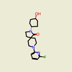 O=C1N([C@H]2CC[C@H](O)CC2)CCC12CCN(c1cccc(F)n1)CC2